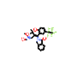 CON(C=O)CC1=C(N2Cc3ccccc3C2=O)c2cc(C(F)(F)C(F)(F)F)ccc2OC1(C)C